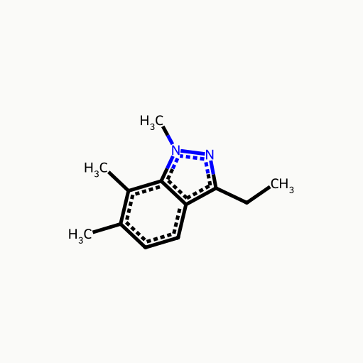 CCc1nn(C)c2c(C)c(C)ccc12